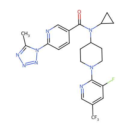 Cc1nnnn1-c1ccc(C(=O)N(C2CC2)C2CCN(c3ncc(C(F)(F)F)cc3F)CC2)cn1